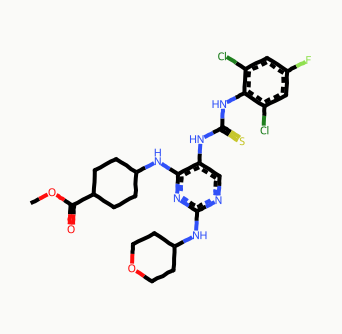 COC(=O)C1CCC(Nc2nc(NC3CCOCC3)ncc2NC(=S)Nc2c(Cl)cc(F)cc2Cl)CC1